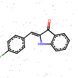 O=C1/C(=C/c2ccc(Br)cc2)Nc2ccccc21